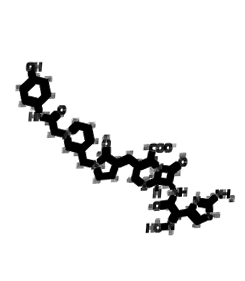 Nc1nc(/C(=N/O)C(=O)N[C@@H]2C(=O)N3C(C(=O)[O-])=C(/C=C4\CCN(Cc5ccc[n+](CC(=O)Nc6ccc(O)cc6)c5)C4=O)CS[C@H]23)cs1